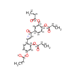 C=CC(=O)Oc1ccc(/C=C/C(=O)c2ccc(OC(=O)C=C)c(OC(=O)C=C)c2)c(OC(=O)C=C)c1